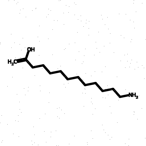 C=C(O)CCCCCCCCCCCN